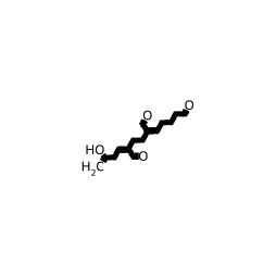 C=C(O)C/C=C(\C=O)CC/C(C=O)=C/CCCC=O